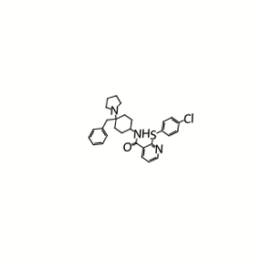 O=C(NC1CCC(Cc2ccccc2)(N2CCCC2)CC1)c1cccnc1Sc1ccc(Cl)cc1